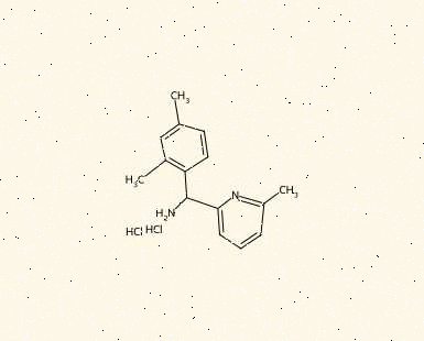 Cc1ccc(C(N)c2cccc(C)n2)c(C)c1.Cl.Cl